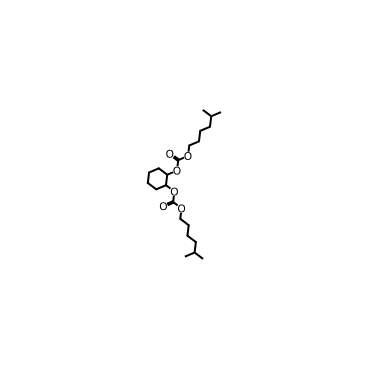 CC(C)CCCCOC(=O)OC1CCCCC1OC(=O)OCCCCC(C)C